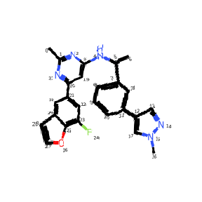 Cc1nc(NC(C)c2cccc(-c3cnn(C)c3)c2)cc(-c2cc(F)c3occc3c2)n1